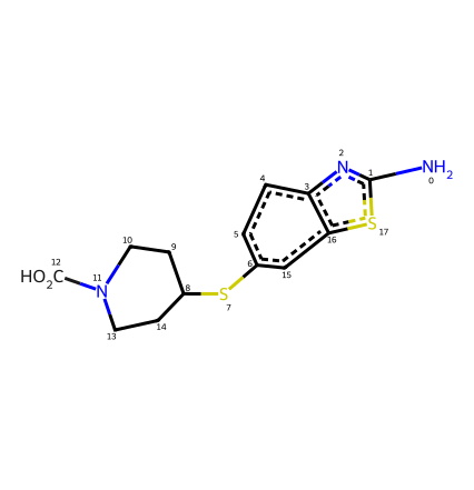 Nc1nc2ccc(SC3CCN(C(=O)O)CC3)cc2s1